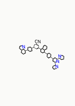 N#CC1=CC(c2ccc(-c3ccc(-c4cc(-c5ccccn5)nc(-c5ccccn5)c4)cc3)c3ccccc23)=CC(c2ccc(-c3cccc4cccnc34)cc2)C1